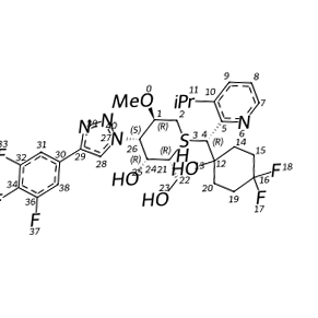 CO[C@H]1C[SH]([C@H](c2ncccc2C(C)C)C2(O)CCC(F)(F)CC2)[C@H](CO)[C@H](O)[C@@H]1n1cc(-c2cc(F)c(F)c(F)c2)nn1